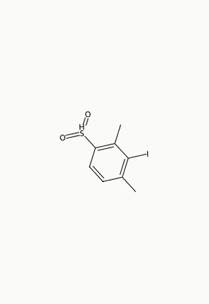 Cc1ccc([SH](=O)=O)c(C)c1I